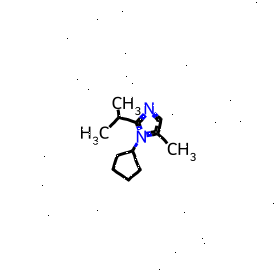 Cc1cnc(C(C)C)n1C1CCCC1